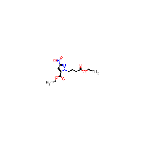 CCOC(=O)CCCn1nc([N+](=O)[O-])cc1C(=O)OCC